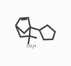 CC1(C(=O)O)CC2C=CC1(C1CCCC1)C2